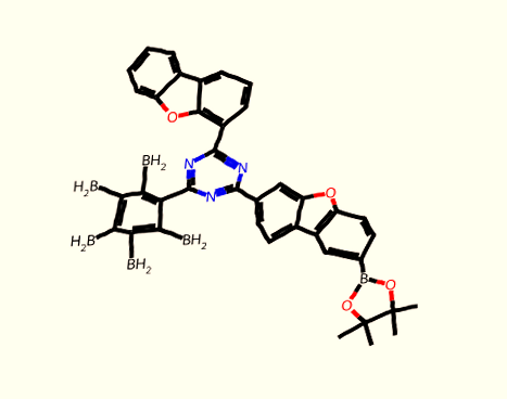 Bc1c(B)c(B)c(-c2nc(-c3ccc4c(c3)oc3ccc(B5OC(C)(C)C(C)(C)O5)cc34)nc(-c3cccc4c3oc3ccccc34)n2)c(B)c1B